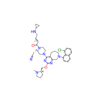 CN1CCC[C@@H]1COc1nc2c(c(N3CCN(C(=O)/C=C/CNC4CC4)[C@@H](CC#N)C3)n1)CCCN(c1cccc3cccc(Cl)c13)C2